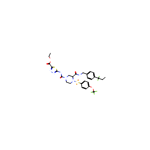 CCOC(=O)c1nnc(NC(=O)N2CCN(S(=O)(=O)c3ccc(OC(F)(F)F)cc3)C(C(=O)NCc3ccc(C(F)(F)CC)cc3)C2)s1